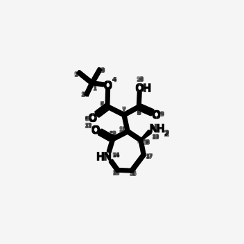 CC(C)(C)OC(=O)C(C(=O)O)C1C(=O)NCCC[C@@H]1N